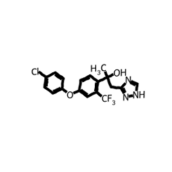 CC(O)(Cc1nc[nH]n1)c1ccc(Oc2ccc(Cl)cc2)cc1C(F)(F)F